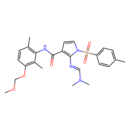 COCOc1ccc(C)c(NC(=O)c2ccn(S(=O)(=O)c3ccc(C)cc3)c2/N=C/N(C)C)c1C